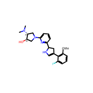 COc1cccc(F)c1C1=CNC(c2cccc(N3C[C@@H](O)[C@H](N(C)C)C3)n2)C1